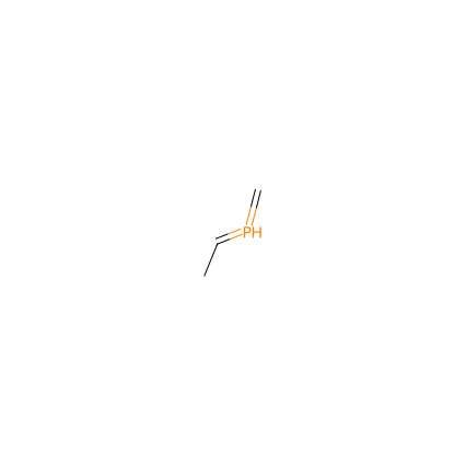 C=[PH]=CC